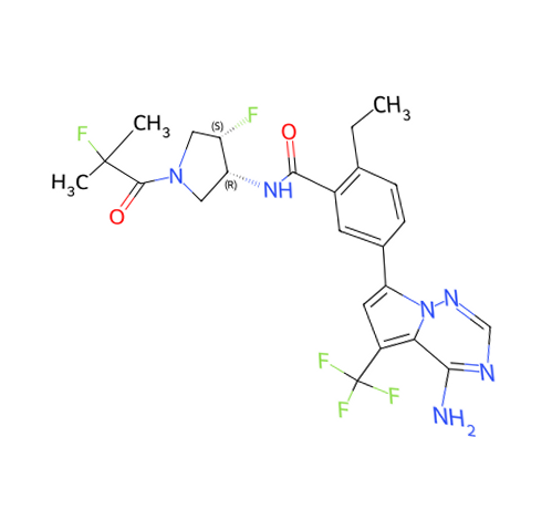 CCc1ccc(-c2cc(C(F)(F)F)c3c(N)ncnn23)cc1C(=O)N[C@@H]1CN(C(=O)C(C)(C)F)C[C@@H]1F